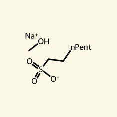 CCCCCCCS(=O)(=O)[O-].CO.[Na+]